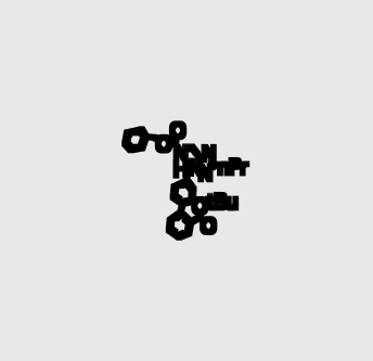 CCCc1nc(CNC(=O)OCc2ccccc2)n(Cc2ccc(-c3ccccc3C(=O)OC(C)(C)C)cc2)n1